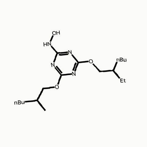 CCCCC(C)COc1nc(NO)nc(OCC(CC)CCCC)n1